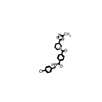 Cc1noc(C2CCCN(C(=O)c3ccc(C(=O)NCc4ccc(Cl)cc4)cc3)C2)n1